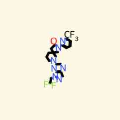 O=C1CC2(CCCN(c3cnc4cnn(CC(F)F)c4n3)C2)CN1c1cccc(C(F)(F)F)n1